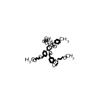 COCCCN1CCOc2ccc(CO[C@H]3CN(S(=O)(=O)c4ccc(C)cc4)[C@H](COS(C)(=O)=O)C[C@@H]3c3ccc(COCCOC)cc3)cc21